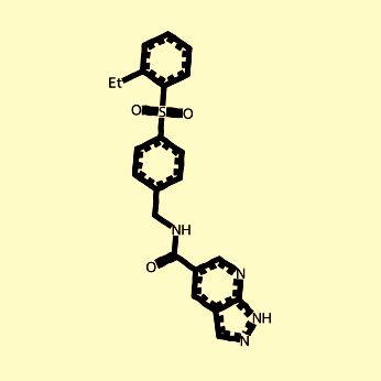 CCc1ccccc1S(=O)(=O)c1ccc(CNC(=O)c2cnc3[nH]ncc3c2)cc1